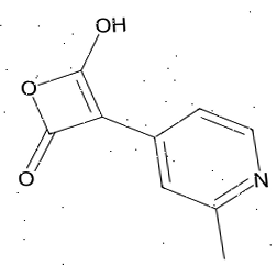 Cc1cc(C2=C(O)OC2=O)ccn1